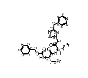 CC(C)C[C@H](NC(=O)[C@H](CC(C)C)NC(=O)OCc1ccccc1)C(=O)Cn1nnc(Cc2ccncc2)n1